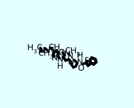 CN(C)CCN(C)c1ccc(NC2=CC(N3CCCC(NC(=O)c4cc5ccccc5s4)C3)=NN(C)C2O)nc1